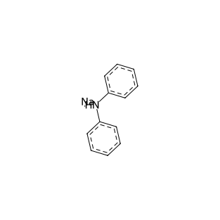 [Na].c1ccc(Nc2ccccc2)cc1